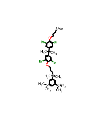 CSCCCOc1c(Br)cc(C(C)(C)c2cc(Br)c(OCCC[Si](C)(C)c3cc([SiH](C)C)cc([SiH](C)C)c3)c(Br)c2)cc1Br